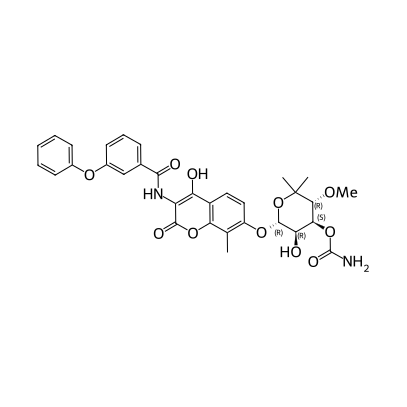 CO[C@@H]1[C@@H](OC(N)=O)[C@@H](O)[C@H](Oc2ccc3c(O)c(NC(=O)c4cccc(Oc5ccccc5)c4)c(=O)oc3c2C)OC1(C)C